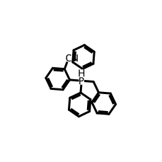 N#Cc1ccccc1[PH](Cc1ccccc1)(c1ccccc1)c1ccccc1